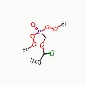 CCOOP(=O)(COC(Cl)OC)OOCC